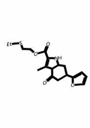 CCSCCOC(=O)C1=C(C)C2C(=O)CC(c3ccco3)CC2N1